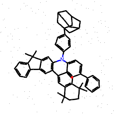 CC1(C)CCC(C)(C)c2cc(-c3cc4c(cc3N(c3ccc(-c5ccccc5)cc3)c3ccc(C56CC7CC(CC(C7)C5)C6)cc3)C(C)(C)c3ccccc3-4)ccc21